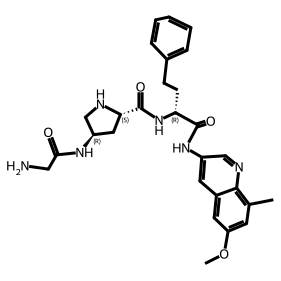 COc1cc(C)c2ncc(NC(=O)[C@@H](CCc3ccccc3)NC(=O)[C@@H]3C[C@@H](NC(=O)CN)CN3)cc2c1